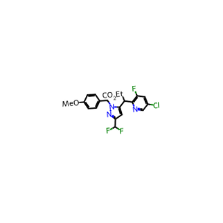 CCOC(=O)C(c1ncc(Cl)cc1F)c1cc(C(F)F)nn1Cc1ccc(OC)cc1